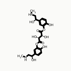 CNC[C@H](O)c1ccc(O)c(OC(=O)[C@H](O)[C@@H](O)C(=O)Oc2cc([C@@H](O)CNC)ccc2O)c1